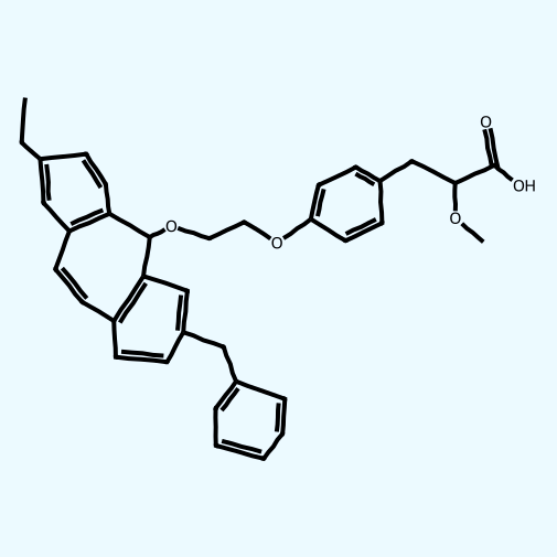 CCc1ccc2c(c1)C=Cc1ccc(Cc3ccccc3)cc1C2OCCOc1ccc(CC(OC)C(=O)O)cc1